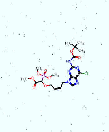 COC(=O)C(OC/C=C\Cn1cnc2c(Cl)nc(NC(=O)OC(C)(C)C)nc21)P(=O)(OC)OC